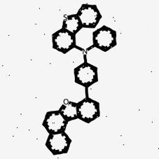 c1ccc(N(c2ccc(-c3cccc4c3oc3ccc5ccccc5c34)cc2)c2cccc3sc4ccccc4c23)cc1